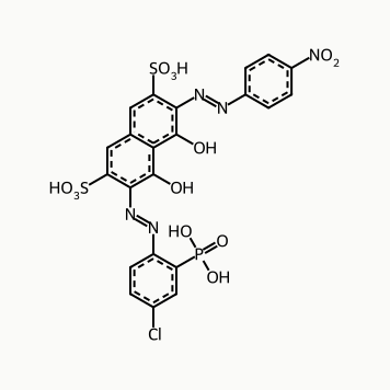 O=[N+]([O-])c1ccc(N=Nc2c(S(=O)(=O)O)cc3cc(S(=O)(=O)O)c(N=Nc4ccc(Cl)cc4P(=O)(O)O)c(O)c3c2O)cc1